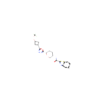 O=C(N[C@H]1CC[C@H](c2nnc(C3CC(OC(F)(F)F)C3)o2)OC1)c1nc2cc(Cl)ccc2s1